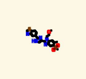 COCCn1c(-c2c[nH]c(-c3ccc4scnc4c3)n2)nc2cc(S(C)(=O)=O)c(C)cc21